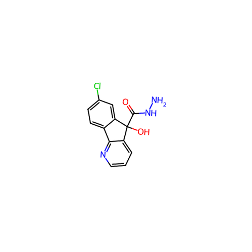 NNC(=O)C1(O)c2cc(Cl)ccc2-c2ncccc21